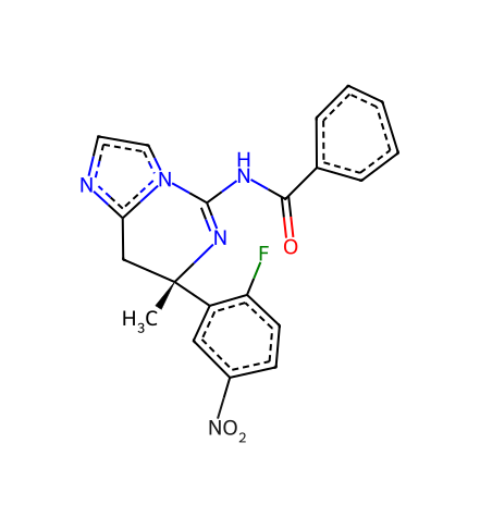 C[C@@]1(c2cc([N+](=O)[O-])ccc2F)Cc2nccn2C(NC(=O)c2ccccc2)=N1